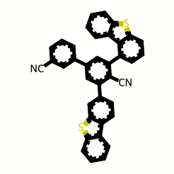 N#Cc1cccc(-c2cc(-c3ccc4c(c3)sc3ccccc34)c(C#N)c(-c3cccc4sc5ccccc5c34)c2)c1